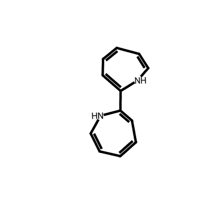 C1=CC=C(C2=CC=CC=CN2)NC=C1